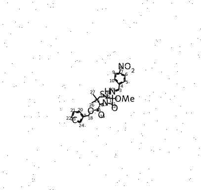 CO[C@@]1(N=Cc2ccc([N+](=O)[O-])cc2)C(=O)N2[C@@H](C(=O)OCc3ccccc3)C(C)(C)S[C@@H]21